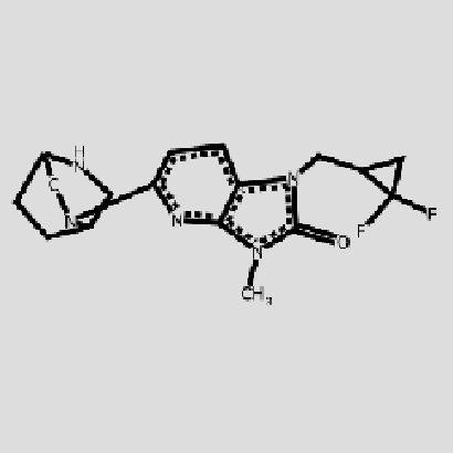 Cn1c(=O)n(CC2CC2(F)F)c2ccc(N3CC4CCC3CN4)nc21